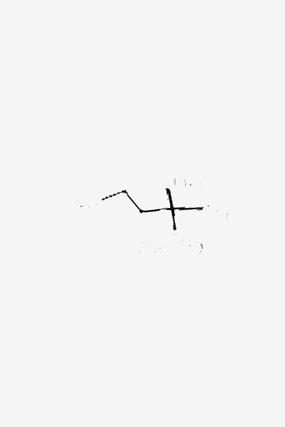 CCCCCCCCCCC(C(=O)[O-])(C(=O)[O-])C(C)(C)C.[Ba+2]